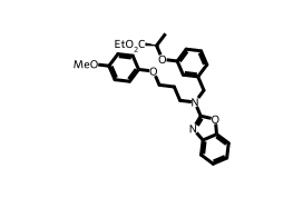 CCOC(=O)[C@@H](C)Oc1cccc(CN(CCCOc2ccc(OC)cc2)c2nc3ccccc3o2)c1